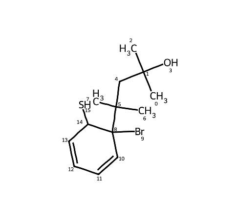 CC(C)(O)CC(C)(C)C1(Br)C=CC=CC1S